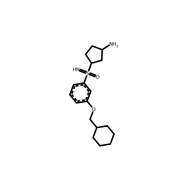 N=S(=O)(c1cccc(OCC2CCCCC2)c1)C1CCC(N)C1